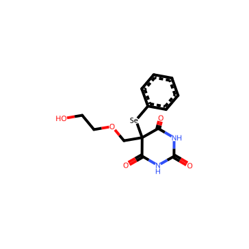 O=C1NC(=O)C(COCCO)([Se]c2ccccc2)C(=O)N1